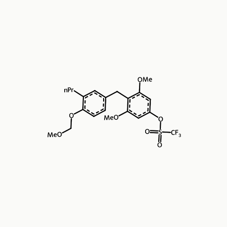 CCCc1cc(Cc2c(OC)cc(OS(=O)(=O)C(F)(F)F)cc2OC)ccc1OCOC